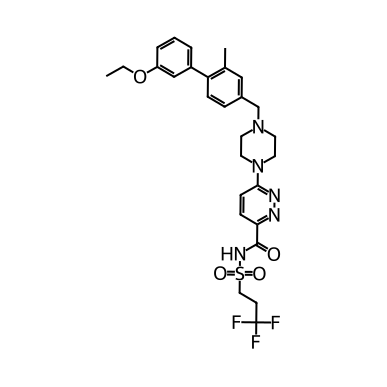 CCOc1cccc(-c2ccc(CN3CCN(c4ccc(C(=O)NS(=O)(=O)CCC(F)(F)F)nn4)CC3)cc2C)c1